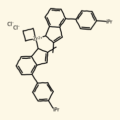 CC1=Cc2c(-c3ccc(C(C)C)cc3)cccc2[CH]1[Zr+2]1([CH]2C(C)=Cc3c(-c4ccc(C(C)C)cc4)cccc32)[CH2]C[CH2]1.[Cl-].[Cl-]